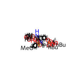 CCCCOC(=O)[C@H](C)OP(=O)(COc1ccc(C[C@H](NC(=O)O[C@H]2CO[C@H]3OCC[C@H]32)[C@H](O)CN(CC(C)C)S(=O)(=O)c2ccc(OC)cc2)cc1)OCCCC